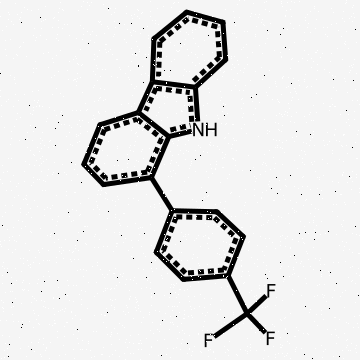 FC(F)(F)c1ccc(-c2cccc3c2[nH]c2ccccc23)cc1